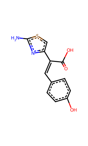 Nc1nc(C(=Cc2ccc(O)cc2)C(=O)O)cs1